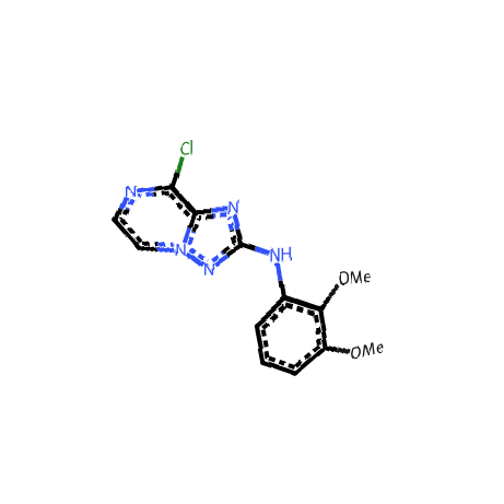 COc1cccc(Nc2nc3c(Cl)nccn3n2)c1OC